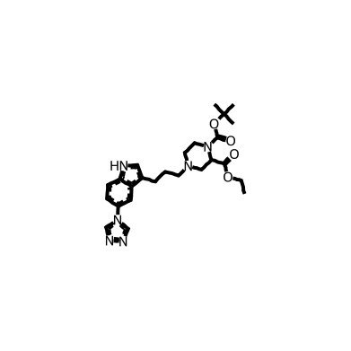 CCOC(=O)C1CN(CCCc2c[nH]c3ccc(-n4cnnc4)cc23)CCN1C(=O)OC(C)(C)C